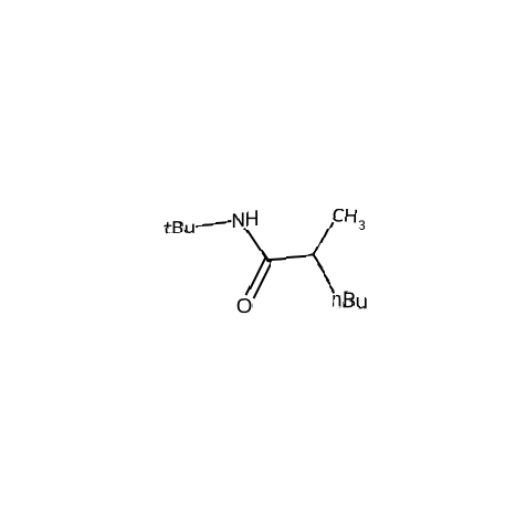 CCCCC(C)C(=O)NC(C)(C)C